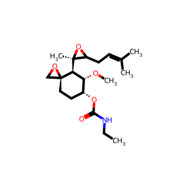 CCNC(=O)O[C@@H]1CC[C@]2(CO2)[C@@H]([C@@]2(C)OC2CC=C(C)C)[C@@H]1OC